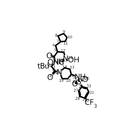 CC(C)(C)[C@H](NC(=O)C(CC1CCCC1)CN(O)C=O)C(=O)N1CCC(NS(=O)(=O)c2ccc(C(F)(F)F)cc2)CC1